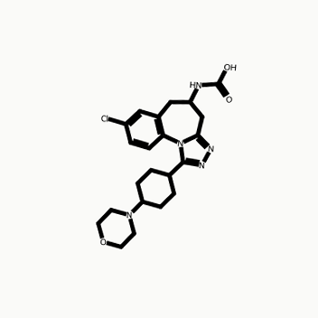 O=C(O)NC1Cc2cc(Cl)ccc2-n2c(nnc2C2CCC(N3CCOCC3)CC2)C1